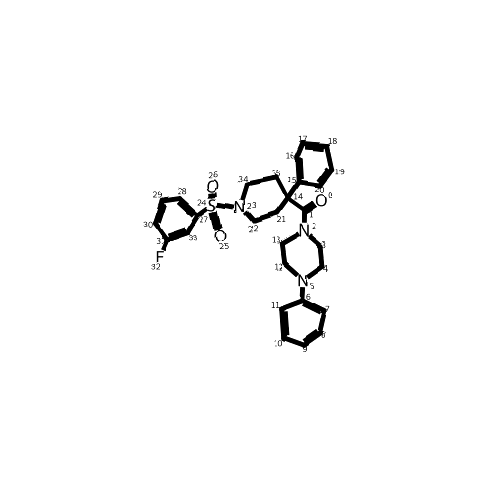 O=C(N1CCN(c2ccccc2)CC1)C1(c2ccccc2)CCN(S(=O)(=O)c2cccc(F)c2)CC1